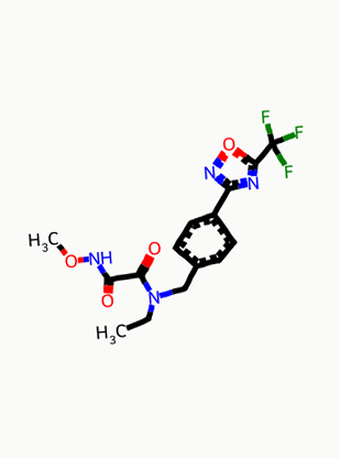 CCN(Cc1ccc(-c2noc(C(F)(F)F)n2)cc1)C(=O)C(=O)NOC